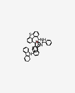 C1=Cc2c(n(-c3cccc4c3sc3c(-c5cccc6sc7cccc(C8N=C(c9ccccc9)N=C(c9ccccc9)N8)c7c56)cccc34)c3ccccc23)CC1